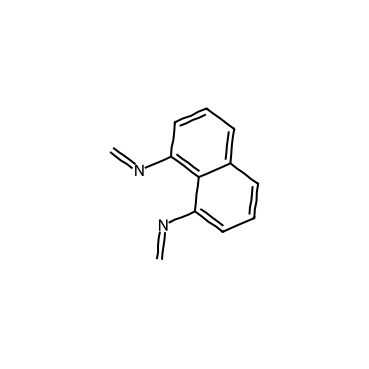 C=Nc1cccc2cccc(N=C)c12